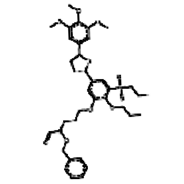 CCCOc1c(OCCCN(C=O)OCc2ccccc2)cc(C2CCC(c3cc(OC)c(OC)c(OC)c3)O2)cc1S(=O)(=O)CCC